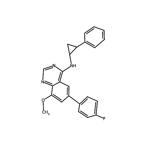 COc1cc(-c2ccc(F)cc2)cc2c(NC3CC3c3ccccc3)ncnc12